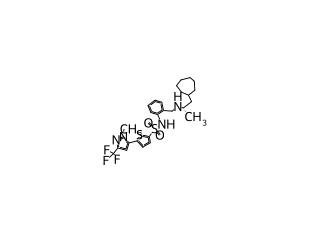 C[C@@H](CC1CCCCCC1)NCc1ccccc1NS(=O)(=O)c1ccc(-c2cc(C(F)(F)F)nn2C)s1